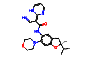 CC(C)[C@]1(C)Cc2cc(NC(=O)/C(C=N)=C3\N=CC=CN3)c(N3CCOCC3)cc2O1